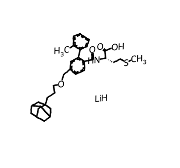 CSCC[C@H](NC(=O)c1ccc(COCCCC23CC4CC(CC(C4)C2)C3)cc1-c1ccccc1C)C(=O)O.[LiH]